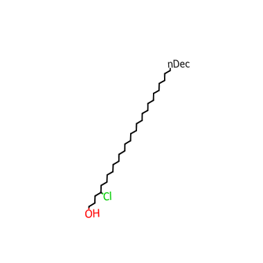 CCCCCCCCCCCCCCCCCCCCCCCCCCCCCCCCCCC(Cl)CCCO